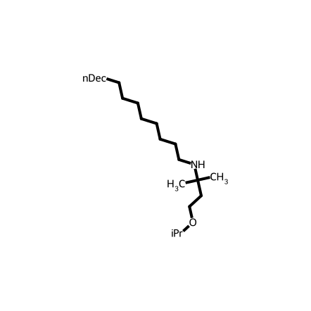 CCCCCCCCCCCCCCCCCCNC(C)(C)CCOC(C)C